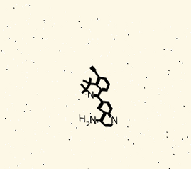 C#Cc1cccc2c1C(C)(C)C(C)(C)N=C2c1ccc2nccc(N)c2c1